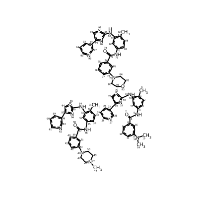 Cc1ccc(NC(=O)c2cccc(N(C)C)c2)cc1Nc1nc(-c2cccnc2)cs1.Cc1ccc(NC(=O)c2cccc(N3CCN(C)CC3)c2)cc1Nc1nc(-c2cccnc2)cs1.Cc1ccc(NC(=O)c2cccc(N3CCOCC3)c2)cc1Nc1nc(-c2cccnc2)cs1